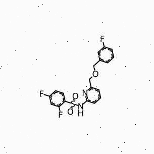 O=S(=O)(Nc1cccc(COCc2cccc(F)c2)n1)c1ccc(F)cc1F